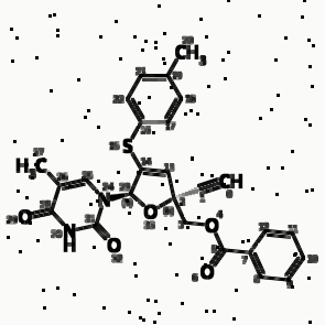 C#C[C@@]1(COC(=O)c2ccccc2)C=C(Sc2ccc(C)cc2)[C@H](n2cc(C)c(=O)[nH]c2=O)O1